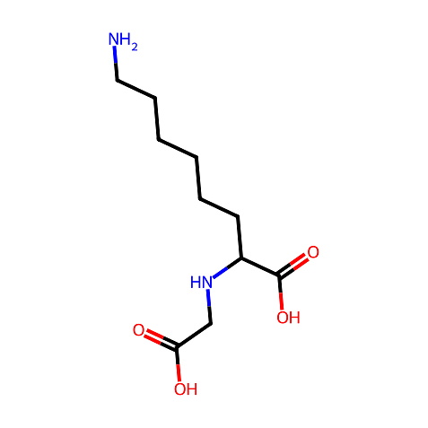 NCCCCCCC(NCC(=O)O)C(=O)O